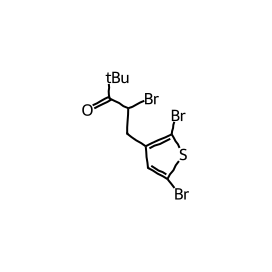 CC(C)(C)C(=O)C(Br)Cc1cc(Br)sc1Br